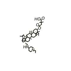 C=C(C)[C@@H]1CC[C@]2(CCNC3CCN(CC)CC3)CC[C@]3(C)[C@H](CC[C@@H]4[C@@]5(C)CC[C@H](OC(=O)CC(C)(C)C(=O)O)C(C)(C)[C@@H]5CC[C@]43C)[C@@H]12